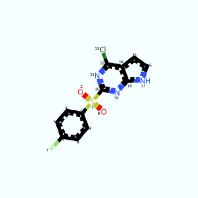 O=S(=O)(c1ccc(F)cc1)c1nc(Cl)c2cc[nH]c2n1